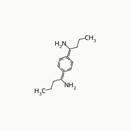 CCCC(N)=c1ccc(=C(N)CCC)cc1